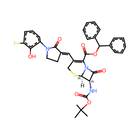 CC(C)(C)OC(=O)N[C@@H]1C(=O)N2C(C(=O)OC(c3ccccc3)c3ccccc3)=C(C=C3CCN(c4cccc(F)c4O)C3=O)CS[C@H]12